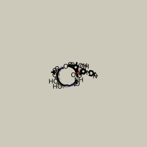 CO[C@H]1/C=C/O[C@@]2(C)Oc3c(C)c(O)c4c(=O)c(c5oc6cc(N7CCC(C)(N(C)C)CC7)cc(O)c6nc-5c4c3C2=O)NC(=O)/C(C)=C\C=C\[C@H](C)[C@H](O)[C@@H](C)[C@@H](O)[C@@H](C)[C@H](OC(C)=O)[C@@H]1C